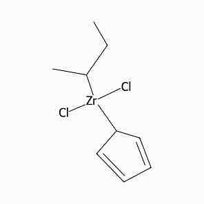 CC[CH](C)[Zr]([Cl])([Cl])[CH]1C=CC=C1